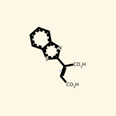 O=C(O)/C=C(\C(=O)O)c1nc2ccccc2s1